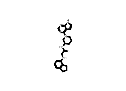 O=C(CNc1cccc2c1CCC2)NC1CCCN(c2ncnc3[nH]ccc23)C1